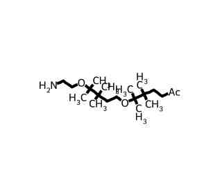 CC(=O)CCC(C)(C)C(C)(C)OCCC(C)(C)C(C)(C)OCCN